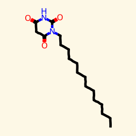 CCCCCCCCCCCCCCN1C(=O)CC(=O)NC1=O